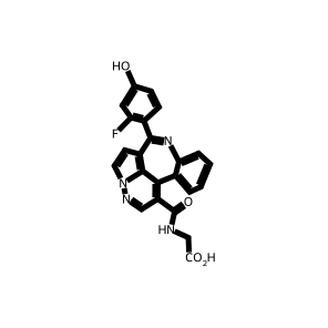 O=C(O)CNC(=O)c1cnn2ccc3c2c1-c1ccccc1N=C3c1ccc(O)cc1F